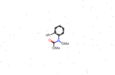 CCCc1ccccc1N(OC)C(=O)OC